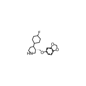 FC1CCC(C2CCNC[C@H]2COc2ccc3c(c2)OCO3)CC1